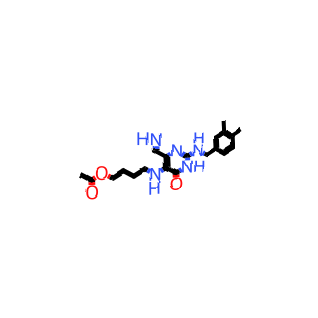 CC(=O)OCCCCNc1c(C=N)nc(NCc2ccc(C)c(C)c2)[nH]c1=O